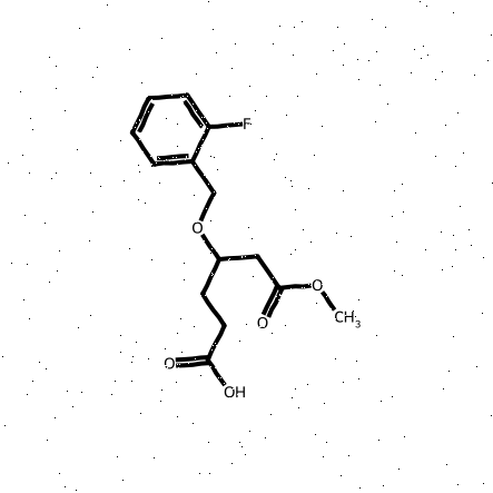 COC(=O)CC(CCC(=O)O)OCc1ccccc1F